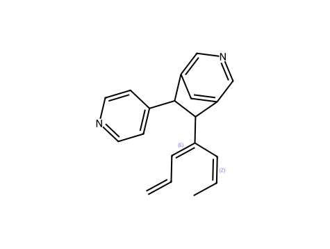 C=C/C=C(\C=C/C)C1c2cncc(c2)C1c1ccncc1